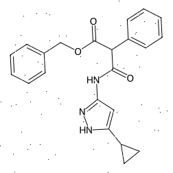 O=C(Nc1cc(C2CC2)[nH]n1)C(C(=O)OCc1ccccc1)c1ccccc1